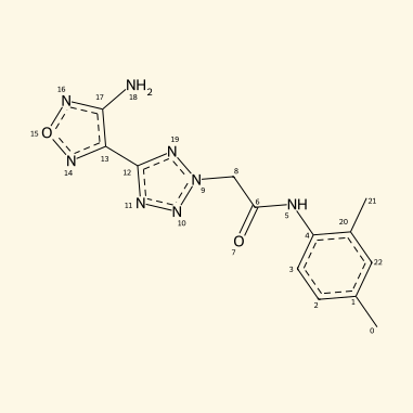 Cc1ccc(NC(=O)Cn2nnc(-c3nonc3N)n2)c(C)c1